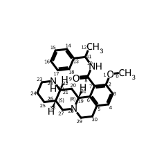 COc1ccc2c(c1C(=O)NC(C)c1ccccc1)[C@H]1C[C@H]3NCCC[C@H]3CN1CC2